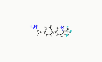 NC1CC1c1ccc(-c2ccc(C(F)(F)F)nc2)cc1